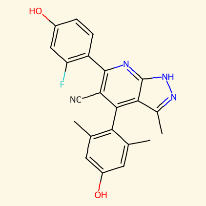 Cc1cc(O)cc(C)c1-c1c(C#N)c(-c2ccc(O)cc2F)nc2[nH]nc(C)c12